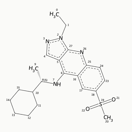 CCn1ncc2c(N[C@@H](C)C3CCCCC3)c3cc(S(C)(=O)=O)ccc3nc21